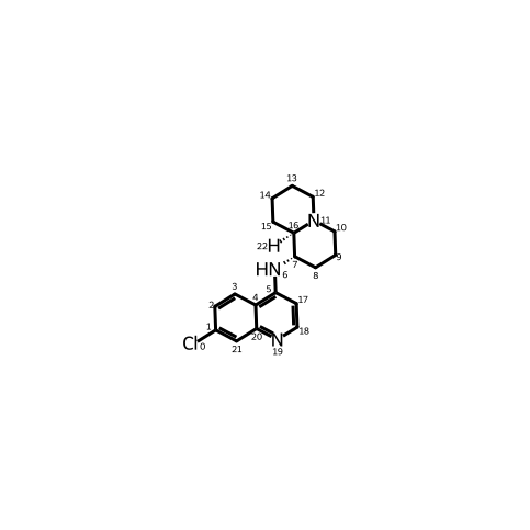 Clc1ccc2c(N[C@H]3CCCN4CCCC[C@H]34)ccnc2c1